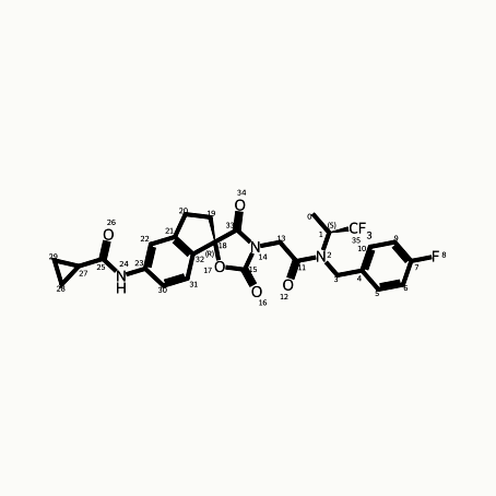 C[C@H](N(Cc1ccc(F)cc1)C(=O)CN1C(=O)O[C@@]2(CCc3cc(NC(=O)C4CC4)ccc32)C1=O)C(F)(F)F